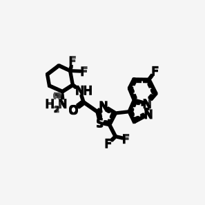 N[C@H]1CCCC(F)(F)C1NC(=O)c1nc(-c2cnn3cc(F)ccc23)c(C(F)F)s1